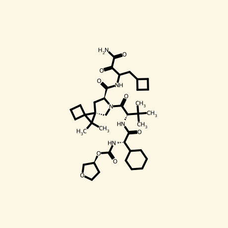 CC(C)(C)[C@H](NC(=O)[C@@H](NC(=O)O[C@H]1CCOC1)C1CCCCC1)C(=O)N1C[C@]2(C[C@H]1C(=O)NC(CC1CCC1)C(=O)C(N)=O)C(C)(C)C21CCC1